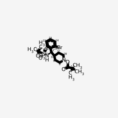 CC(C)(C)C(=O)ON1CCC([C@@H](NS(=O)(=O)C(C)(C)C)c2ccccc2Br)CC1